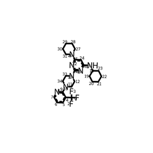 FC(F)(F)c1cccnc1N1CCN(c2nc(NC3CCCCC3)cc(N3CCCCC3)n2)CC1